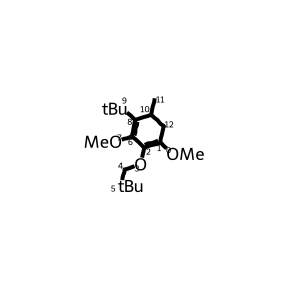 COC1=C(OCC(C)(C)C)C(OC)=C(C(C)(C)C)C(C)C1